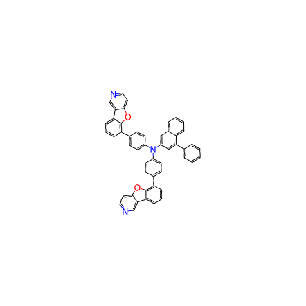 c1ccc(-c2cc(N(c3ccc(-c4cccc5c4oc4ccncc45)cc3)c3ccc(-c4cccc5c4oc4ccncc45)cc3)cc3ccccc23)cc1